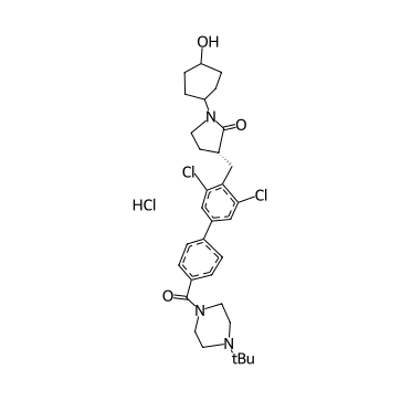 CC(C)(C)N1CCN(C(=O)c2ccc(-c3cc(Cl)c(C[C@@H]4CCN(C5CCC(O)CC5)C4=O)c(Cl)c3)cc2)CC1.Cl